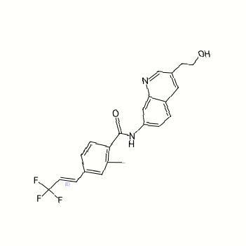 Cc1cc(/C=C/C(F)(F)F)ccc1C(=O)Nc1ccc2cc(CCO)cnc2c1